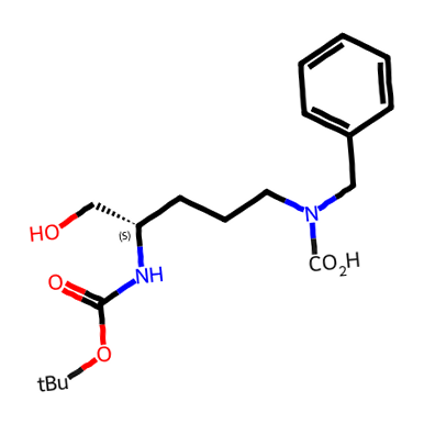 CC(C)(C)OC(=O)N[C@H](CO)CCCN(Cc1ccccc1)C(=O)O